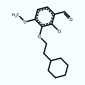 COc1ccc(C=O)c(Cl)c1OCCC1CCCCC1